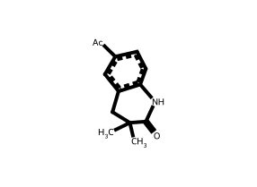 CC(=O)c1ccc2c(c1)CC(C)(C)C(=O)N2